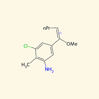 CCC/C=C(/OC)c1cc(N)c(C)c(Cl)c1